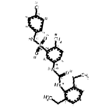 CCc1cccc(CC)c1NC(=O)Nc1ccc(C)c(S(=O)(=O)Nc2ccc(Cl)cc2)c1